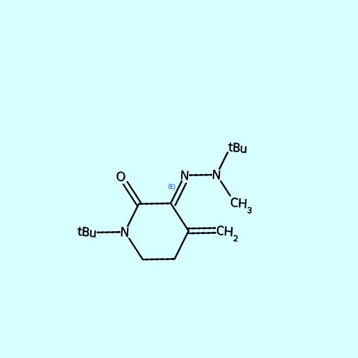 C=C1CCN(C(C)(C)C)C(=O)/C1=N/N(C)C(C)(C)C